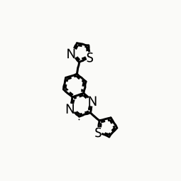 [c]1nc2ccc(-c3nccs3)cc2nc1-c1cccs1